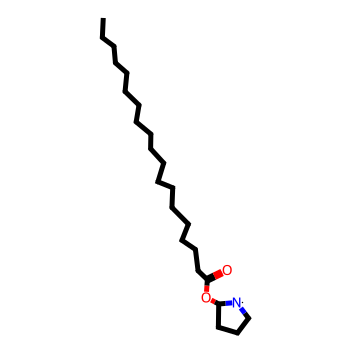 CCCCCCCCCCCCCCCCCCC(=O)OC1CCC[N]1